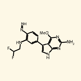 COc1nc(N)nc2[nH]cc(-c3ccc(N=N)c(NCC(F)F)c3)c12